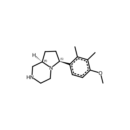 COc1ccc([C@@H]2CC[C@@H]3CNCCN32)c(C)c1C